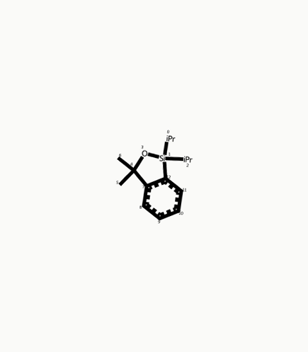 CC(C)[Si]1(C(C)C)OC(C)(C)c2ccccc21